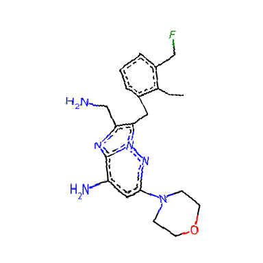 Cc1c(CF)cccc1Cc1c(CN)nc2c(N)cc(N3CCOCC3)nn12